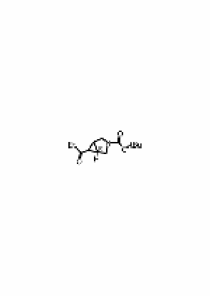 CCC(=O)C1C2CN(C(=O)OC(C)(C)C)C[C@H]21